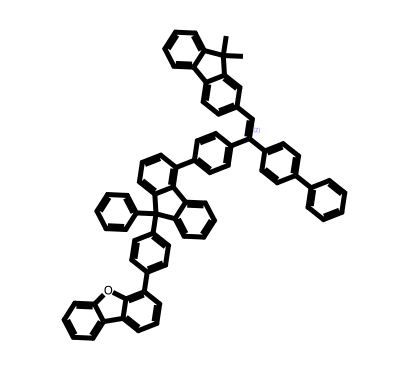 CC1(C)c2ccccc2-c2ccc(/C=C(/c3ccc(-c4ccccc4)cc3)c3ccc(-c4cccc5c4-c4ccccc4C5(c4ccccc4)c4ccc(-c5cccc6c5oc5ccccc56)cc4)cc3)cc21